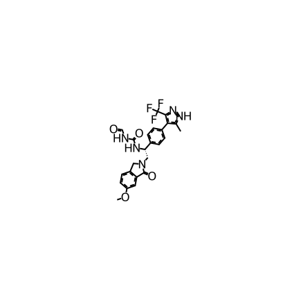 COc1ccc2c(c1)C(=O)N(C[C@H](NC(=O)NC=O)c1ccc(-c3c(C(F)(F)F)n[nH]c3C)cc1)C2